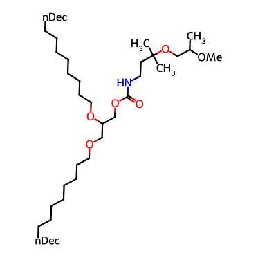 CCCCCCCCCCCCCCCCCCOCC(COC(=O)NCCC(C)(C)OCC(C)OC)OCCCCCCCCCCCCCCCCCC